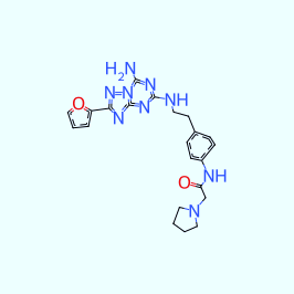 Nc1nc(NCCc2ccc(NC(=O)CN3CCCC3)cc2)nc2nc(-c3ccco3)nn12